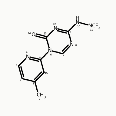 Cc1ccnc(-n2cnc(NNC(F)(F)F)nc2=O)c1